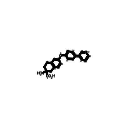 NC1(C(=O)O)CCc2cc(Oc3ccc(-c4cccnc4)cc3)ccc2C1